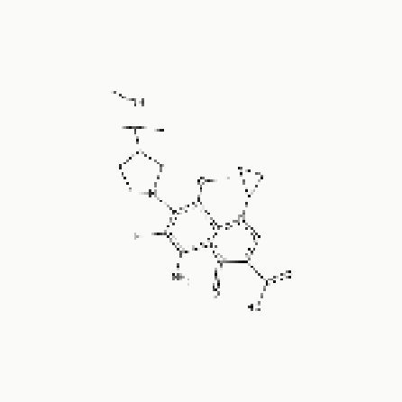 CNC(C)(C)C1CCN(c2c(F)c(N)c3c(=O)c(C(=O)O)cn(C4CC4)c3c2OC)C1